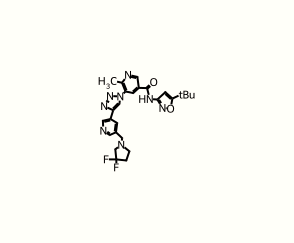 Cc1ncc(C(=O)Nc2cc(C(C)(C)C)on2)cc1-n1cc(-c2cncc(CN3CCC(F)(F)C3)c2)nn1